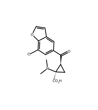 CN(C)[C@]1(C(=O)O)C[C@@H]1C(=O)c1cc(Cl)c2occc2c1